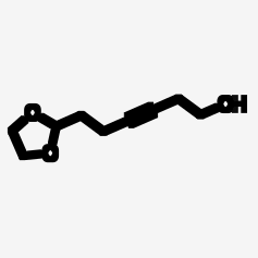 OCCC#CCCC1OCCO1